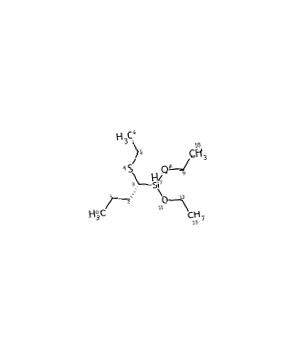 CCC[C@H](SCC)[SiH](OCC)OCC